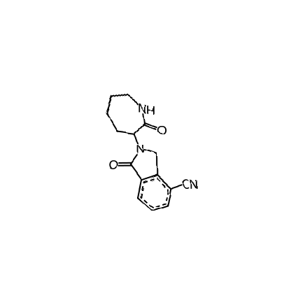 N#Cc1cccc2c1CN(C1CCCCNC1=O)C2=O